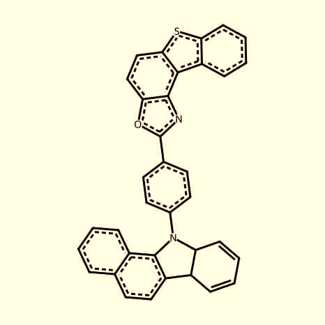 C1=CC2c3ccc4ccccc4c3N(c3ccc(-c4nc5c(ccc6sc7ccccc7c65)o4)cc3)C2C=C1